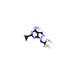 CC(C)Cn1ncc2c(N)nc(C3CC3)nc21